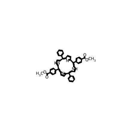 COC(=O)c1ccc(-c2c3nc(c(-c4ccccc4)c4ccc([nH]4)c(-c4ccc(C(=O)OC)cc4)c4nc(c(-c5ccccc5)c5ccc2[nH]5)C=C4)C=C3)cc1